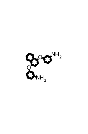 Nc1cccc(Oc2ccc(Oc3cccc(N)c3)c3ccccc23)c1